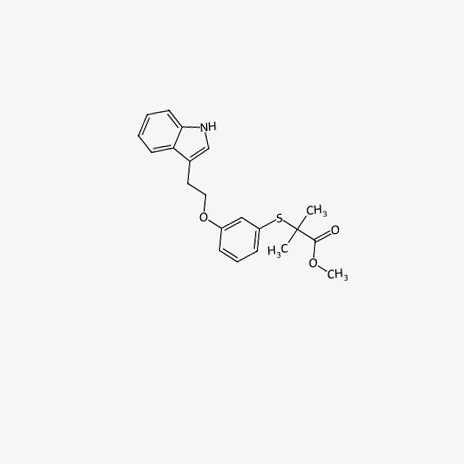 COC(=O)C(C)(C)Sc1cccc(OCCc2c[nH]c3ccccc23)c1